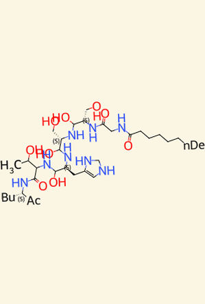 CCCCCCCCCCCCCCCC(=O)NCC(=O)N[C@@H](CO)C(O)N[C@@H](CO)C(O)N[C@@H](CC1=CNCN1)C(O)NC(C(=O)N[C@@H](CCCC)C(C)=O)C(C)O